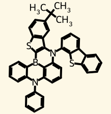 CC(C)(C)c1ccc2sc3c(c2c1)N(c1cccc2c1sc1ccccc12)c1cccc2c1B3c1ccccc1N2c1ccccc1